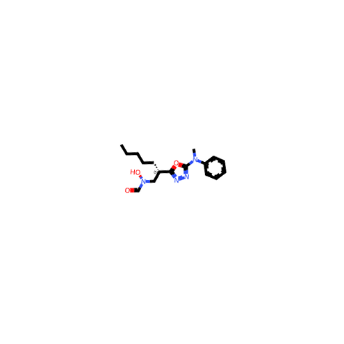 CCCCC[C@@H](CN(O)C=O)c1nnc(N(C)c2ccccc2)o1